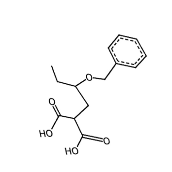 CCC(CC(C(=O)O)C(=O)O)OCc1ccccc1